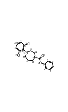 O=C(Oc1ccccc1)N1CCCN(c2c(Cl)cncc2Cl)CC1